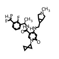 C[C@@H](NC(=O)c1cn([C@H]2CC23CC3)c(=O)cc1NCC1C2CN(C)CC12)c1cccc(C(F)P)c1F